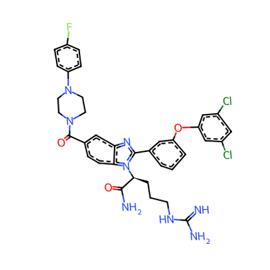 N=C(N)NCCC[C@@H](C(N)=O)n1c(-c2cccc(Oc3cc(Cl)cc(Cl)c3)c2)nc2cc(C(=O)N3CCN(c4ccc(F)cc4)CC3)ccc21